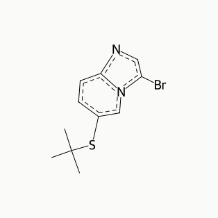 CC(C)(C)Sc1ccc2ncc(Br)n2c1